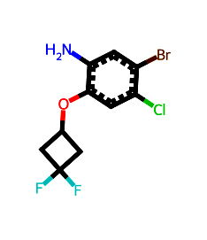 Nc1cc(Br)c(Cl)cc1OC1CC(F)(F)C1